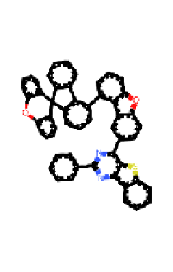 c1ccc(-c2nc(-c3ccc4oc5cccc(-c6cccc7c6-c6ccccc6C76c7ccccc7Oc7ccccc76)c5c4c3)c3sc4ccccc4c3n2)cc1